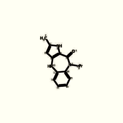 CCCN1C(=O)c2[nH]c(C)cc2Nc2ccccc21